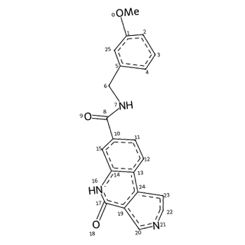 COc1cccc(CNC(=O)c2ccc3c(c2)[nH]c(=O)c2cnccc23)c1